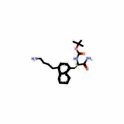 CC(C)(C)OC(=O)N[C@@H](Cc1ccc(CCCCN)c2ccccc12)C(N)=O